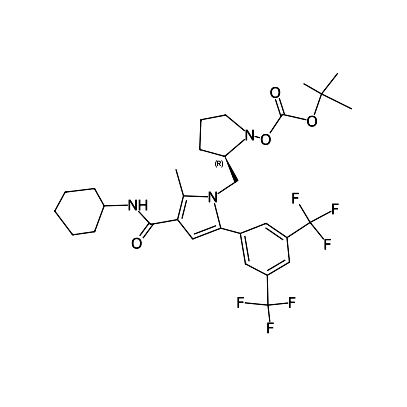 Cc1c(C(=O)NC2CCCCC2)cc(-c2cc(C(F)(F)F)cc(C(F)(F)F)c2)n1C[C@H]1CCCN1OC(=O)OC(C)(C)C